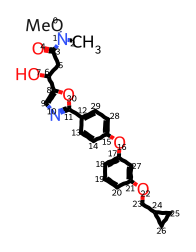 CON(C)C(=O)CC(O)c1cnc(-c2ccc(Oc3cccc(OCC4CC4)c3)cc2)o1